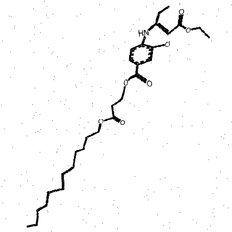 CCCCCCCCCCCCOC(=O)CCOC(=O)c1ccc(NC(=CC(=O)OCC)CC)c(Cl)c1